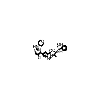 CC(C(=O)N[C@H](CO)c1ccccc1)n1cnn2cc(-c3nc(NC4CCOCC4)ncc3Cl)cc2c1=O